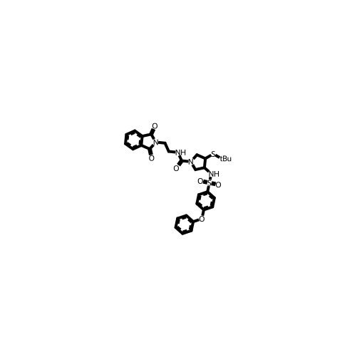 CC(C)(C)SC1CN(C(=O)NCCN2C(=O)c3ccccc3C2=O)CC1NS(=O)(=O)c1ccc(Oc2ccccc2)cc1